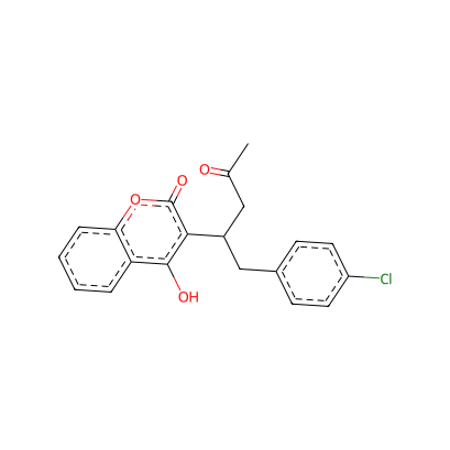 CC(=O)CC(Cc1ccc(Cl)cc1)c1c(O)c2ccccc2oc1=O